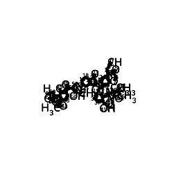 C#CCN1C(=O)COc2cc(F)c(N3C(=O)C4=C(CCCC4)C3=O)cc21.CC(C)C1(C)N=C(c2ncccc2C(=O)O)NC1=O.Cc1c(C(=O)c2cnn(C)c2O)ccc(S(C)(=O)=O)c1C1=NOCC1